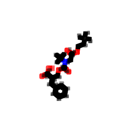 CC(C)(C)N(CC(=O)OCC[Si](C)(C)C)C(=O)OC/C(=C\c1ccccc1)C(=O)O